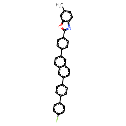 Cc1ccc2nc(-c3ccc(-c4ccc5cc(-c6ccc(-c7ccc(F)cc7)cc6)ccc5c4)cc3)oc2c1